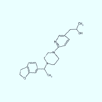 CC(O)Cc1ccc(N2CCN(C(C)c3ccc4c(c3)OCC4)CC2)nc1